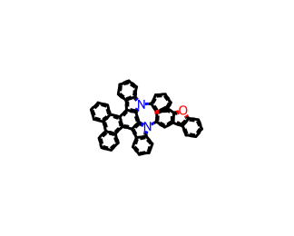 c1ccc(-n2c3ccccc3c3c4c5ccccc5c5ccccc5c4c4c5ccccc5n(-c5ccc6oc7ccccc7c6c5)c4c32)cc1